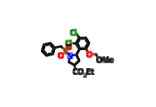 CCOC(=O)C1CC(c2c(OCOC)ccc(Cl)c2Cl)N(S(=O)(=O)Cc2ccccc2)C1